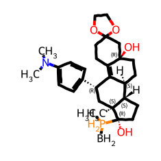 B[PH2](C)[C@]1(O)CC[C@H]2[C@@H]3CC[C@@]4(O)CC5(CCC4=C3[C@@H](c3ccc(N(C)C)cc3)C[C@@]21C)OCCO5